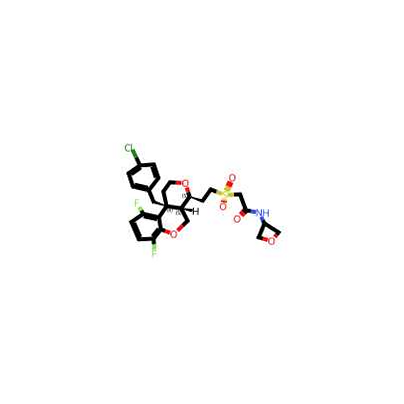 O=C(CS(=O)(=O)CC[C@@H]1OCC[C@@]2(Cc3ccc(Cl)cc3)c3c(F)ccc(F)c3OC[C@@H]12)NC1COC1